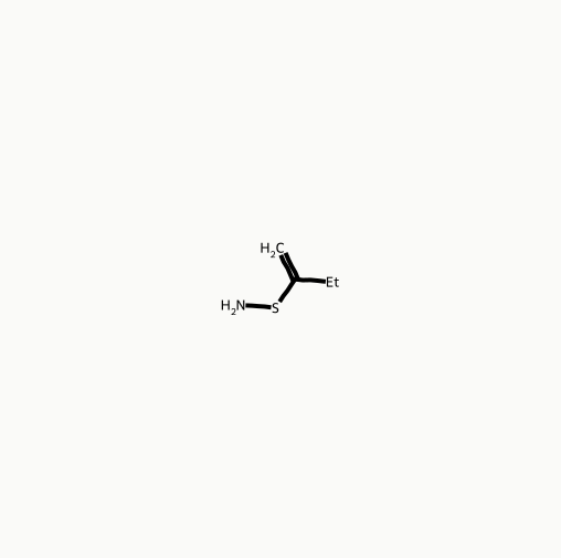 C=C(CC)SN